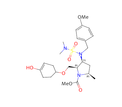 COC(=O)N1[C@H](C)C[C@H](N(Cc2ccc(OC)cc2)S(=O)(=O)N(C)C)[C@@H]1COC1CC=C(O)CC1